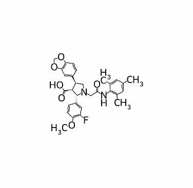 COc1ccc([C@@H]2[C@@H](C(=O)O)[C@@H](c3ccc4c(c3)OCO4)CN2CC(=O)Nc2c(C)cc(C)cc2C)cc1F